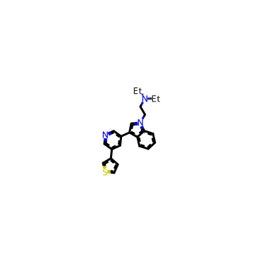 CCN(CC)CCn1cc(-c2cncc(-c3ccsc3)c2)c2ccccc21